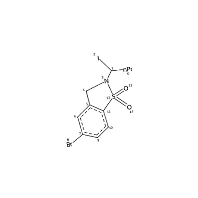 CCCC(I)N1Cc2cc(Br)ccc2S1(=O)=O